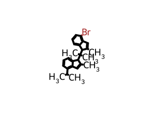 CC1=Cc2c(Br)cccc2C1C(C)(C)C1C(C)=Cc2c(C(C)C)cccc21